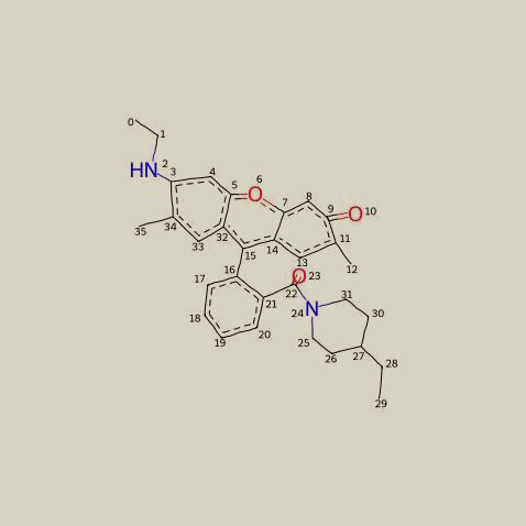 CCNc1cc2oc3cc(=O)c(C)cc-3c(-c3ccccc3C(=O)N3CCC(CC)CC3)c2cc1C